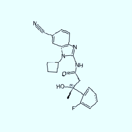 C[C@@](O)(CC(=O)Nc1nc2ccc(C#N)cc2n1C1CCC1)c1ccccc1F